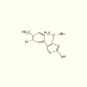 CCCC[C@@H](C)c1cc(CCC)ccc1-c1ccc(C(=O)O)c(CC)c1